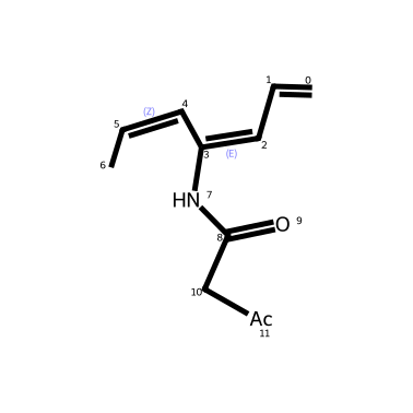 C=C/C=C(\C=C/C)NC(=O)CC(C)=O